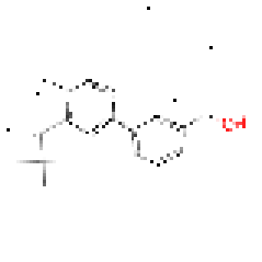 Cc1ccc(-c2cccc(CO)c2)cc1[CH]C(C)(C)C